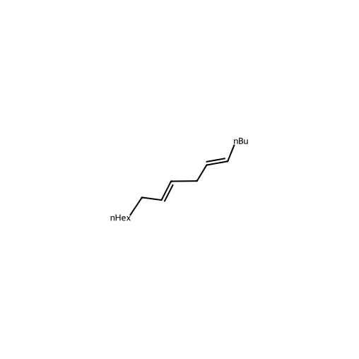 [CH2]CCCC=CCC=CCCCCCC[CH2]